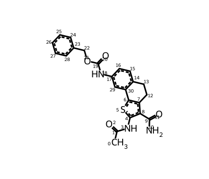 CC(=O)Nc1sc2c(c1C(N)=O)CCc1ccc(NC(=O)OCc3ccccc3)cc1-2